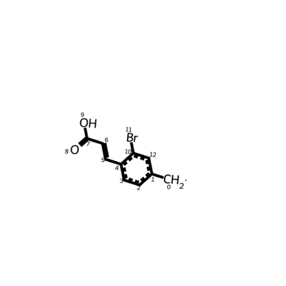 [CH2]c1ccc(C=CC(=O)O)c(Br)c1